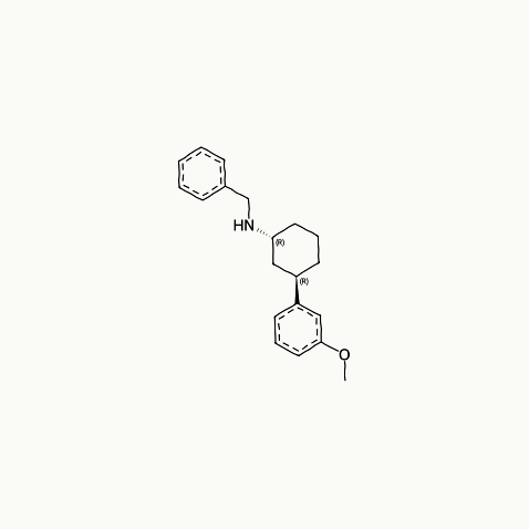 COc1cccc([C@@H]2CCC[C@@H](NCc3ccccc3)C2)c1